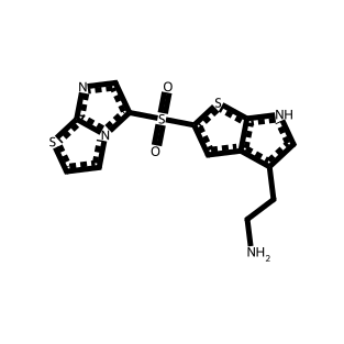 NCCc1c[nH]c2sc(S(=O)(=O)c3cnc4sccn34)cc12